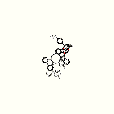 C=C1CC2C(CCc3ccc4c(oc5cccc(-c6ccc(C)cc6)c54)c3-c3n(-c4ccc(C(C)(C)C)cc4)c4ccccc4[n+]31)c1ccccc1-c1ccc([Si](C)(C)C)c[n+]12